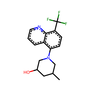 CC1CC(O)CN(c2ccc(C(F)(F)F)c3ncccc23)C1